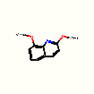 CCCCCOc1ccc2cccc(OCCCCC)c2n1